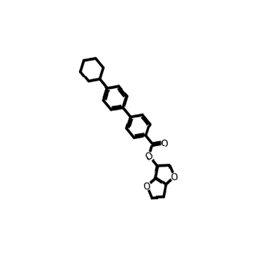 O=C(OC1COC2CCOC21)c1ccc(-c2ccc(C3CCCCC3)cc2)cc1